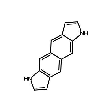 c1cc2cc3cc4[nH]ccc4cc3cc2[nH]1